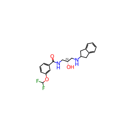 O=C(NC[C@@H](O)CNC1Cc2ccccc2C1)c1cccc(OC(F)F)c1